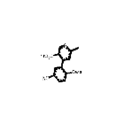 COc1ccc(C#N)cc1-c1cc(C)ncc1C(=O)O